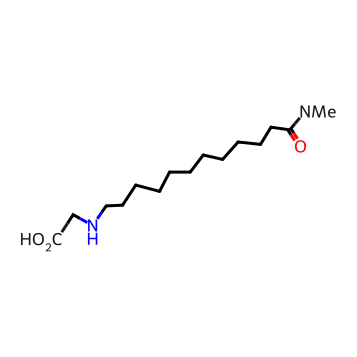 CNC(=O)CCCCCCCCCCCNCC(=O)O